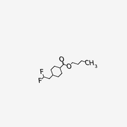 CCCCOC(=O)C1CCC(CC(F)F)CC1